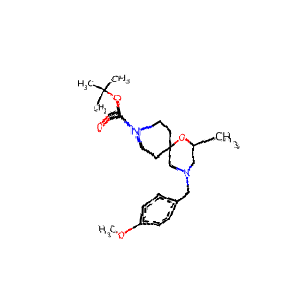 COc1ccc(CN2CC(C)OC3(CCN(C(=O)OC(C)(C)C)CC3)C2)cc1